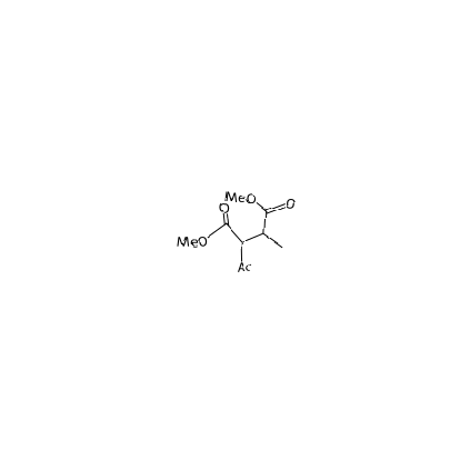 COC(=O)C(C)C(C(C)=O)C(=O)OC